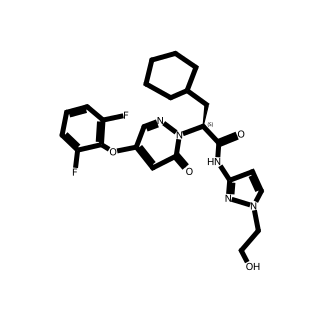 O=C(Nc1ccn(CCO)n1)[C@H](CC1CCCCC1)n1ncc(Oc2c(F)cccc2F)cc1=O